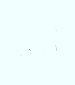 O=c1n(CCc2ccc3ccccc3n2)nc2cccc(-c3cccnc3)n12